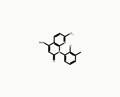 CNc1cc(=O)n(-c2cccc(C)c2Cl)c2nc(C(F)(F)F)ccc12